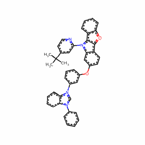 CC(C)(C)c1ccnc(-n2c3cc(Oc4cccc(-n5c[n+](-c6ccccc6)c6ccccc65)c4)ccc3c3oc4ccccc4c32)c1